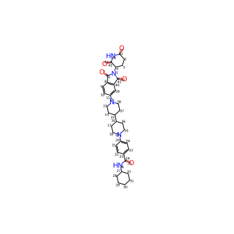 O=C1CCC(N2C(=O)c3ccc(N4CCC(C5CCN(c6ccc(C(=O)NC7CCCCC7)cc6)CC5)CC4)cc3C2=O)C(=O)N1